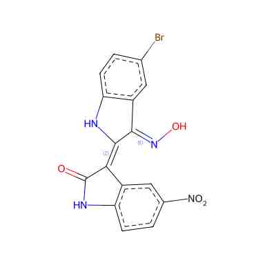 O=C1Nc2ccc([N+](=O)[O-])cc2/C1=C1/Nc2ccc(Br)cc2/C1=N\O